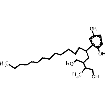 CCCCCCCCCCCCCC(CC(CO)C(C)CO)c1cc(O)ccc1O